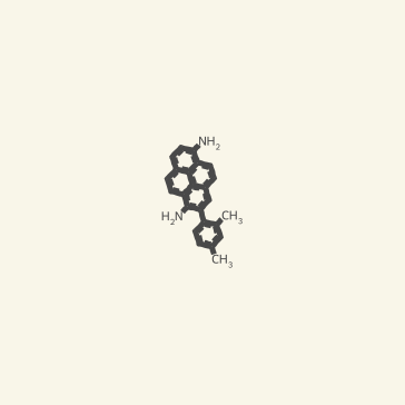 Cc1ccc(-c2cc3ccc4c(N)ccc5ccc(c2N)c3c54)c(C)c1